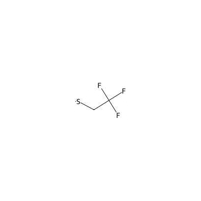 FC(F)(F)C[S]